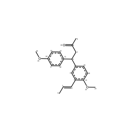 CC=Cc1cc(C(CC(C)=O)c2ccc(OC)cc2)ccc1OC